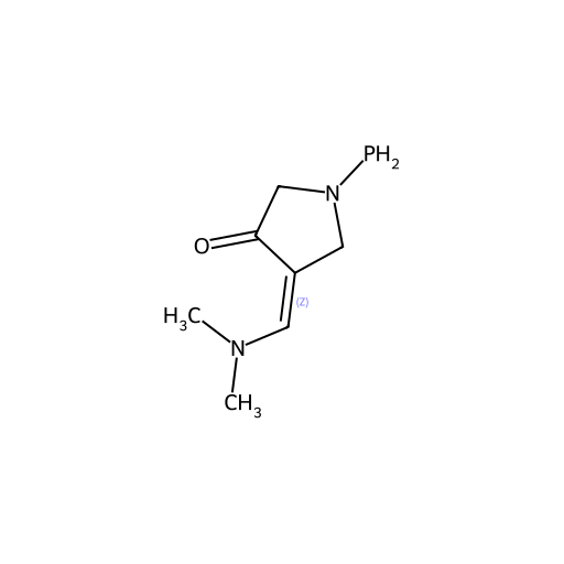 CN(C)/C=C1/CN(P)CC1=O